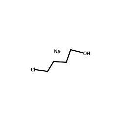 OCCCCCl.[Na]